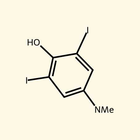 CNc1cc(I)c(O)c(I)c1